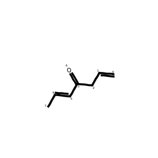 C=CCC(=O)/C=C/C